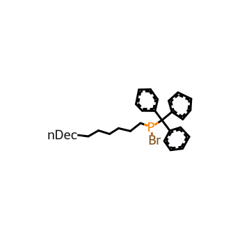 CCCCCCCCCCCCCCCCP(Br)C(c1ccccc1)(c1ccccc1)c1ccccc1